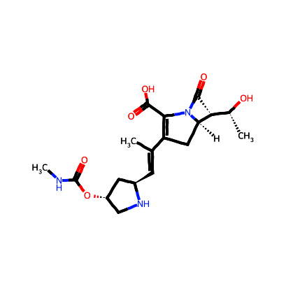 CNC(=O)O[C@H]1CN[C@H](C=C(C)C2=C(C(=O)O)N3C(=O)[C@H]([C@@H](C)O)[C@H]3C2)C1